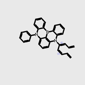 C=C/C=C\C(=C/C=C)N1c2ccccc2B2c3ccccc3N(c3ccccc3)c3cccc1c32